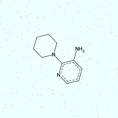 Nc1cccnc1N1CCCCC1